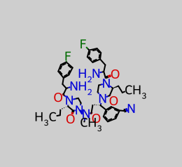 CCC[C@H]1C(=O)N([C@@H](CC(=O)N(C)N2CCN(C(=O)C(N)Cc3ccc(F)cc3)[C@@H](CCC)C2=O)c2cccc(C#N)c2)CCN1C(=O)C(N)Cc1ccc(F)cc1